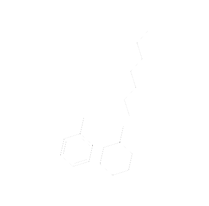 CC1CCCCC1.CCCCCCC.Cc1ccccc1